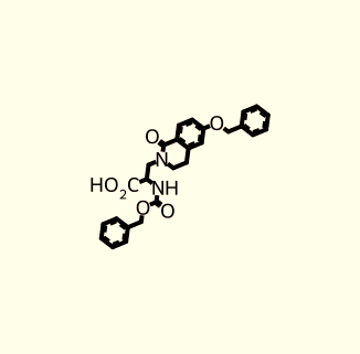 O=C(NC(CN1CCc2cc(OCc3ccccc3)ccc2C1=O)C(=O)O)OCc1ccccc1